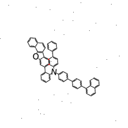 c1ccc(-c2ccc(N(c3ccc(-c4ccc(-c5cccc6ccccc56)cc4)cc3)c3ccccc3-c3ccc4c(c3)oc3c5ccccc5ccc43)cc2)cc1